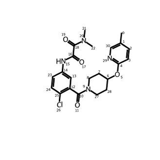 Cc1ccc(OC2CCN(C(=O)c3cc(NC(=O)C(=O)N(C)C)ccc3Cl)CC2)nc1